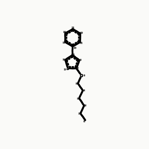 CCCCCCOc1cc(-c2ccccc2)cs1